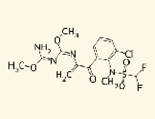 C=C(/N=C(\N=C(/N)OC)OC)C(=O)c1cccc(Cl)c1N(C)S(=O)(=O)C(F)F